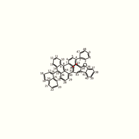 c1ccc(-c2ccc(-c3c4ccccc4c(-c4cccc5ccccc45)c4cccc(-c5ccc6oc7ccccc7c6c5)c34)cc2)cc1